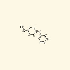 ClOC1CCN(Cc2cccnc2)CC1